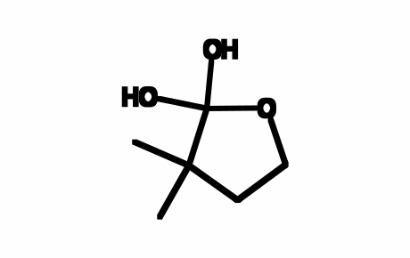 CC1(C)CCOC1(O)O